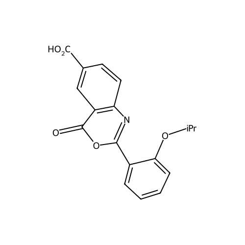 CC(C)Oc1ccccc1-c1nc2ccc(C(=O)O)cc2c(=O)o1